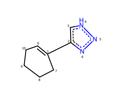 C1=C(c2c[nH]nn2)CCCC1